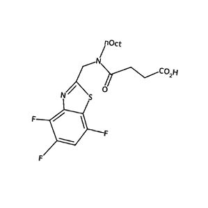 CCCCCCCCN(Cc1nc2c(F)c(F)cc(F)c2s1)C(=O)CCC(=O)O